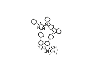 CC1(C)CC(C)(C)c2cc(-c3ccc(-n4c5ccccc5c5cc6c7ccccc7n(-c7nc(-c8ccccc8)nc(-c8ccc(-c9ccccc9)cc8)n7)c6cc54)cc3)ccc21